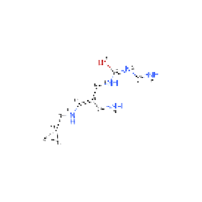 N=C/N=C(/Br)NC/C(C=N)=C/NCC1CC1